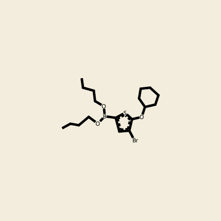 CCCCOB(OCCCC)c1cc(Br)c(OC2CCCCC2)s1